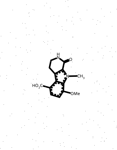 COc1ccc(C(=O)O)c2c3c(n(C)c12)C(=O)NCC3